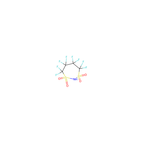 O=S1(=O)NS(=O)(=O)C(F)(F)C(F)(F)C(F)(F)C1(F)F